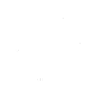 CC1/C=C/CCCCCCCCCCC(=O)C1